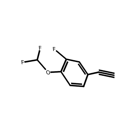 C#Cc1ccc(OC(F)F)c(F)c1